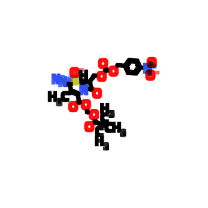 CC1=C(C(=O)OCOC(=O)C(C)(C)C)N2C(=O)[C@H](COC(=O)OCc3ccc([N+](=O)[O-])cc3)[C@@H]2[S@@+]([O-])C1=[N+]=[N-]